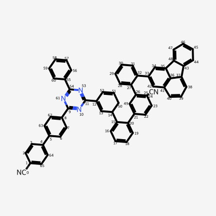 N#Cc1ccc(-c2ccc(-c3nc(C4=CC(c5ccccc5-c5ccc(C#N)c(-c6ccccc6-c6cc7c8c(cccc8c6)-c6ccccc6-7)c5)CC=C4)nc(-c4ccccc4)n3)cc2)cc1